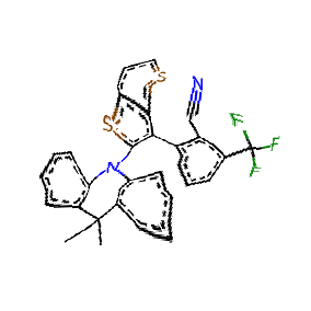 CC1(C)c2ccccc2N(c2sc3ccsc3c2-c2cccc(C(F)(F)F)c2C#N)c2ccccc21